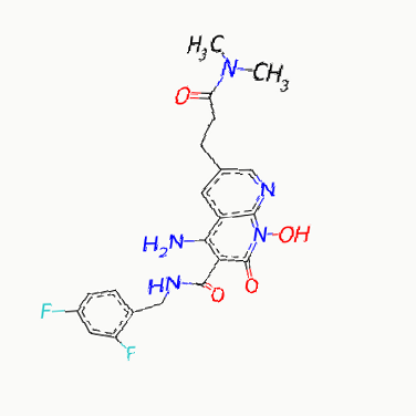 CN(C)C(=O)CCc1cnc2c(c1)c(N)c(C(=O)NCc1ccc(F)cc1F)c(=O)n2O